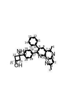 Cc1cc2nc(C)c3cc(-c4ccccc4)c(-c4ccc([C@]5(N)C[C@@](C)(O)C5)cc4)nc3n2n1